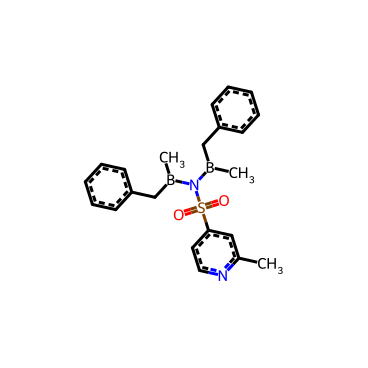 CB(Cc1ccccc1)N(B(C)Cc1ccccc1)S(=O)(=O)c1ccnc(C)c1